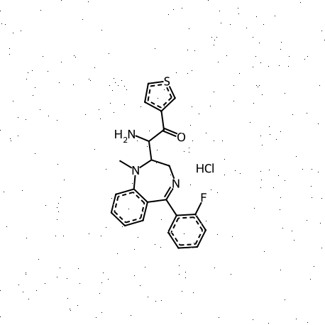 CN1c2ccccc2C(c2ccccc2F)=NCC1C(N)C(=O)c1ccsc1.Cl